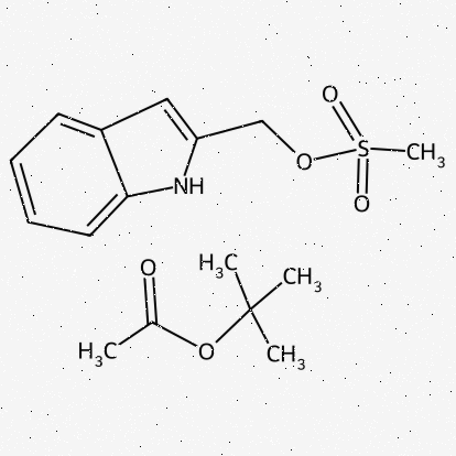 CC(=O)OC(C)(C)C.CS(=O)(=O)OCc1cc2ccccc2[nH]1